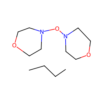 C1CN(ON2CCOCC2)CCO1.CCCC